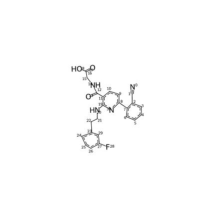 N#Cc1ccccc1-c1ccc(C(=O)NCC(=O)O)c(NCCc2cccc(F)c2)n1